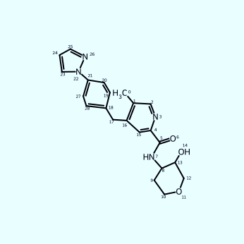 Cc1cnc(C(=O)NC2CCOCC2O)cc1Cc1ccc(-n2cccn2)cc1